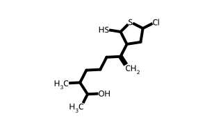 C=C(CCCC(C)C(C)O)C1CC(Cl)SC1S